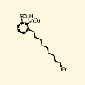 CCCCc1c(CCCCCCCCCC(C)C)cccc1S(=O)(=O)O